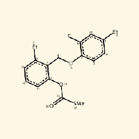 CCc1ccc(OCc2c(CC)cccc2OC(=O)SC)c(C)c1